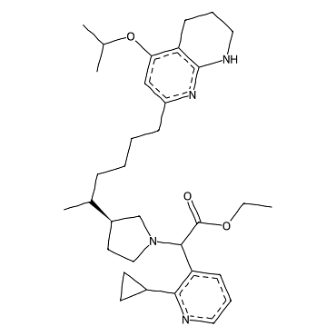 CCOC(=O)C(c1cccnc1C1CC1)N1CC[C@@H](C(C)CCCCc2cc(OC(C)C)c3c(n2)NCCC3)C1